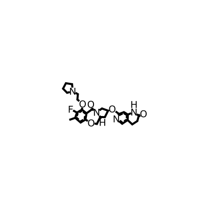 Cc1cc2c(c(OCCN3CCCC3)c1F)C(=O)N1C[C@@H](Oc3cc4c(cn3)CCC(=O)N4)C[C@@H]1CO2